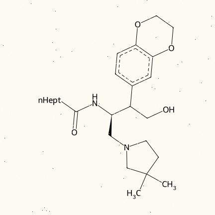 CCCCCCCC(=O)N[C@H](CN1CCC(C)(C)C1)C(CO)c1ccc2c(c1)OCCO2